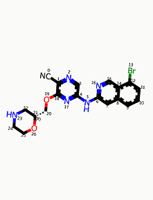 N#Cc1ncc(Nc2cc3cccc(Br)c3cn2)nc1OC[C@H]1CNCCO1